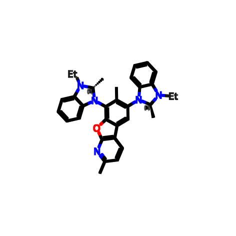 CCN1c2ccccc2N(c2cc3c(oc4nc(C)ccc43)c(N3c4ccccc4N(CC)[C@@H]3C)c2C)[C@@H]1C